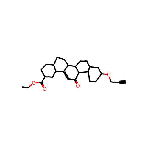 C#CCOC1CCC2C(CCC3C4CCC5CCC(C(=O)OCC)CC5C4=CC(=O)C23)C1